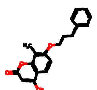 Cc1c(OCCCc2ccccc2)ccc2c(O)cc(=O)oc12